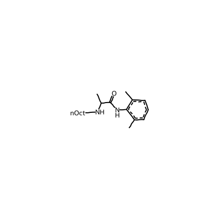 CCCCCCCCNC(C)C(=O)Nc1c(C)cccc1C